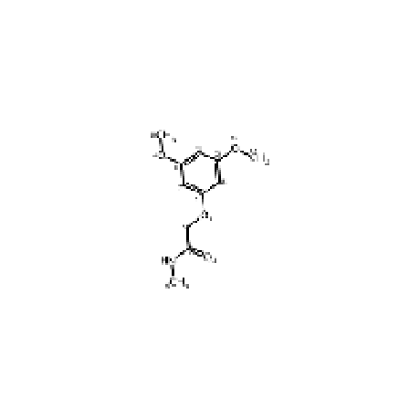 CNC(=O)COc1cc(OC)cc(OC)c1